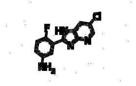 Nc1ccc(F)c(-c2nc3ncc(Cl)cc3[nH]2)c1